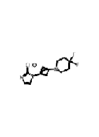 O=Cc1nccn1C12CC(N3CCC(F)(F)CC3)(C1)C2